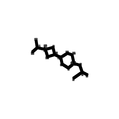 CC(C)CN1CCN(C2CN(C(C)C)C2)CC1